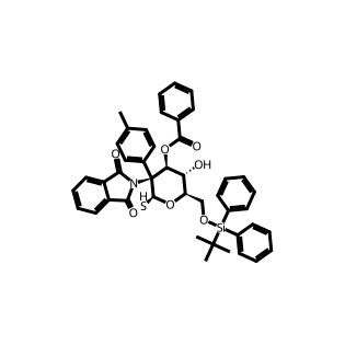 Cc1ccc([C@@]2(N3C(=O)c4ccccc4C3=O)[C@H](S)O[C@H](CO[Si](c3ccccc3)(c3ccccc3)C(C)(C)C)[C@@H](O)[C@@H]2OC(=O)c2ccccc2)cc1